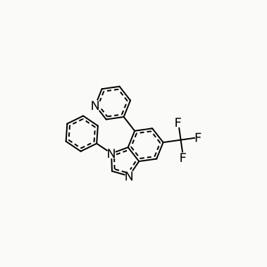 FC(F)(F)c1cc(-c2cccnc2)c2c(c1)ncn2-c1ccccc1